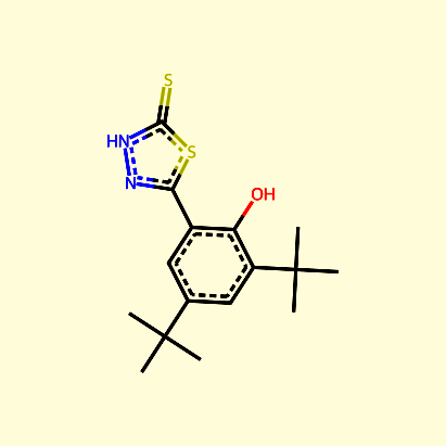 CC(C)(C)c1cc(-c2n[nH]c(=S)s2)c(O)c(C(C)(C)C)c1